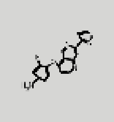 NC1C=C(F)C(Oc2ccnc3cc(-c4ccsn4)ncc23)=CC1